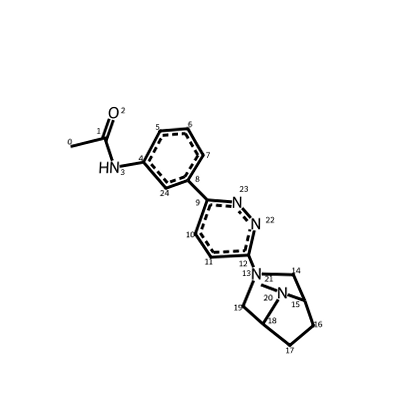 CC(=O)Nc1cccc(-c2ccc(N3CC4CCC(C3)N4C)nn2)c1